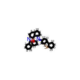 c1ccc(-c2nc3ccc4cccc(N(c5ccccc5)c5ccc6c(c5)sc5ccccc56)c4c3o2)cc1